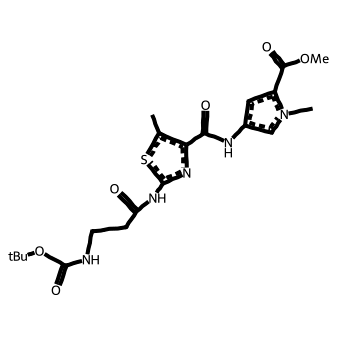 COC(=O)c1cc(NC(=O)c2nc(NC(=O)CCNC(=O)OC(C)(C)C)sc2C)cn1C